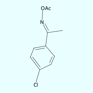 CC(=O)ON=C(C)c1ccc(Cl)cc1